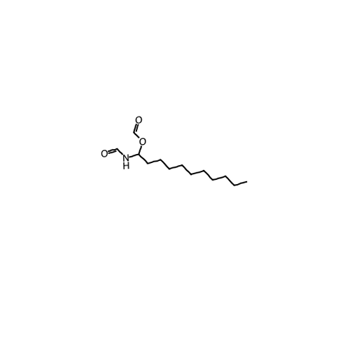 CCCCCCCCCCC(NC=O)OC=O